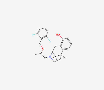 CC(CN1CCC2(C)c3cccc(O)c3CC1C2(C)C)OCc1c(F)cccc1F